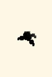 CCc1ccc(C2=CC[C]([Hf]([CH3])(=[GeH2])([C]3=C(C)C(c4ccc(CC)cc4)=CC3)[c]3ccccc3)=C2C)cc1.Cl.Cl